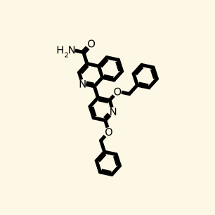 NC(=O)c1cnc(-c2ccc(OCc3ccccc3)nc2OCc2ccccc2)c2ccccc12